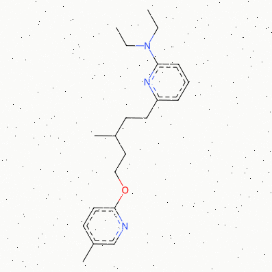 CCN(CC)c1cccc(CCC(C)CCOc2ccc(C)cn2)n1